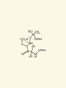 CCCCCCNC(CC)(CC)C(=O)C(CC(=O)O)NCC(C)(CC)CCCCCC